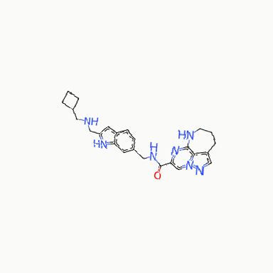 O=C(NCc1ccc2cc(CNCC3CCC3)[nH]c2c1)c1cn2ncc3c2c(n1)NCCC3